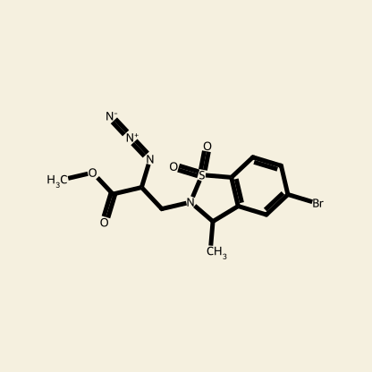 COC(=O)C(CN1C(C)c2cc(Br)ccc2S1(=O)=O)N=[N+]=[N-]